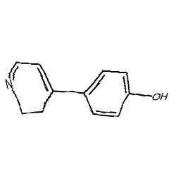 Oc1ccc(C2=CC=NCC2)cc1